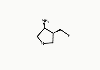 N[C@@H]1C[N]C[C@@H]1CF